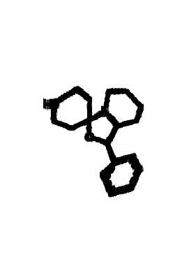 c1ccc(C2OC3(CCNCC3)N3CCCCC23)cc1